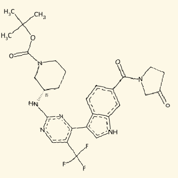 CC(C)(C)OC(=O)N1CCC[C@H](Nc2ncc(C(F)(F)F)c(-c3c[nH]c4cc(C(=O)N5CCC(=O)C5)ccc34)n2)C1